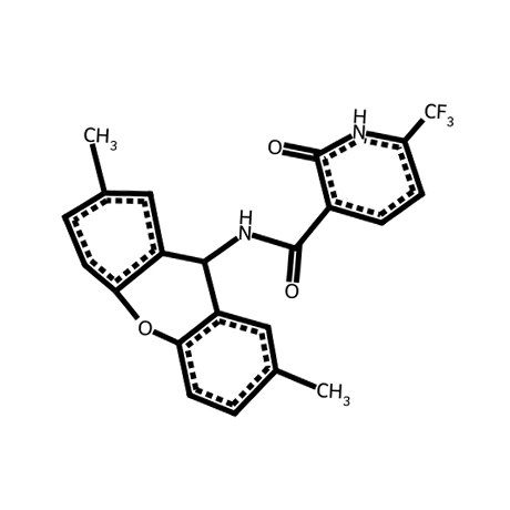 Cc1ccc2c(c1)C(NC(=O)c1ccc(C(F)(F)F)[nH]c1=O)c1cc(C)ccc1O2